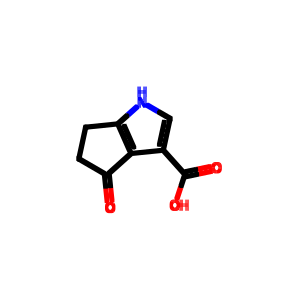 O=C(O)c1c[nH]c2c1C(=O)CC2